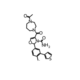 [CH2]c1ccc(C2OC=C(C(=O)N3CCCN(C(C)=O)CC3)N2C(N)=O)cc1-c1ccsc1